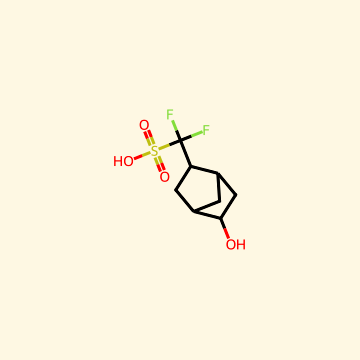 O=S(=O)(O)C(F)(F)C1CC2CC1CC2O